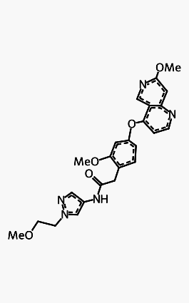 COCCn1cc(NC(=O)Cc2ccc(Oc3ccnc4cc(OC)ncc34)cc2OC)cn1